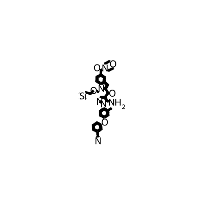 Cc1cc(Oc2cccc(C#N)c2)ccc1-n1ncc(C(=O)c2cc3cc(C(=O)N4CCOCC4)ccc3n2COCC[Si](C)(C)C)c1N